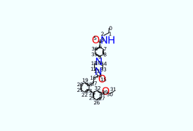 CCCNC(=O)c1ccc(N2CCN(C(=O)CCc3ccccc3-c3cccc(OCC)c3)CC2)cc1